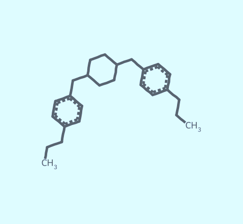 CCCc1ccc(CC2CCC(Cc3ccc(CCC)cc3)CC2)cc1